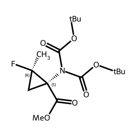 COC(=O)[C@@]1(N(C(=O)OC(C)(C)C)C(=O)OC(C)(C)C)C[C@@]1(C)F